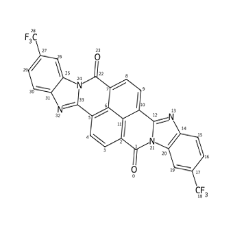 O=c1c2ccc3c4c(ccc(c24)c2nc4ccc(C(F)(F)F)cc4n12)c(=O)n1c2cc(C(F)(F)F)ccc2nc31